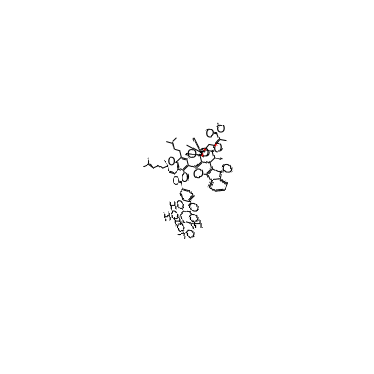 COC(=O)/C(C)=C\CC12OC(C)(C)[C@@H](C)C13Oc1c(CC=C(C)C)c4c(c(OC(=O)c5ccc(O[C@@H]6O[C@@H]7COC(C)(C)O[C@H]7[C@H](O)[C@H]6O)cc5)c1C1=C3C(C3=C(O1)c1ccccc1C3=O)[C@H](C)C2=O)C=CC(C)(CCC=C(C)C)O4